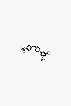 O=[N+]([O-])c1ccc(CN2CCN(c3cc(Br)cc(Br)c3)CC2)cc1